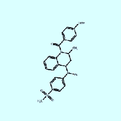 COc1ccc(C(=O)N2c3ccccc3C(N(C(C)=O)c3ccc(S(C)(=O)=O)cc3)CC2C)cc1